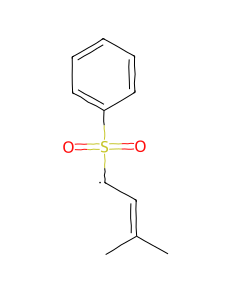 CC(C)=C[CH]S(=O)(=O)c1ccccc1